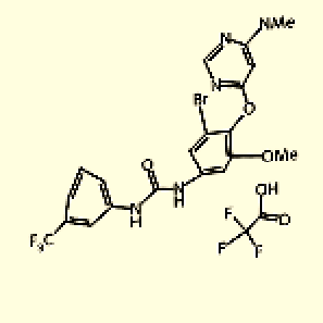 CNc1cc(Oc2c(Br)cc(NC(=O)Nc3cccc(C(F)(F)F)c3)cc2OC)ncn1.O=C(O)C(F)(F)F